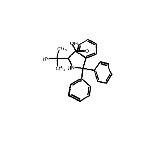 CC(C)(S)C(NC(c1ccccc1)(c1ccccc1)c1ccccc1)C(=O)O